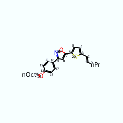 CCCC=Cc1ccc(-c2cc(-c3ccc(OCCCCCCCC)cc3)no2)s1